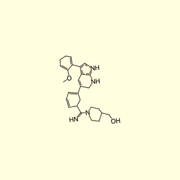 COC1=CCCC=C1c1c[nH]c2c1C=C(C1=CC=CC(C(=N)N3CCC(CO)CC3)C1)CN2